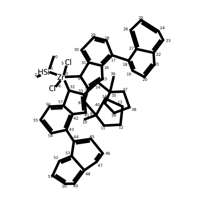 C[SiH](C)[Zr]([Cl])([Cl])([CH]1C(CC2(C)CCCC2)=Cc2c(-c3cccc4ccccc34)cccc21)[CH]1C(CC2(C)CCCC2)=Cc2c(-c3cccc4ccccc34)cccc21